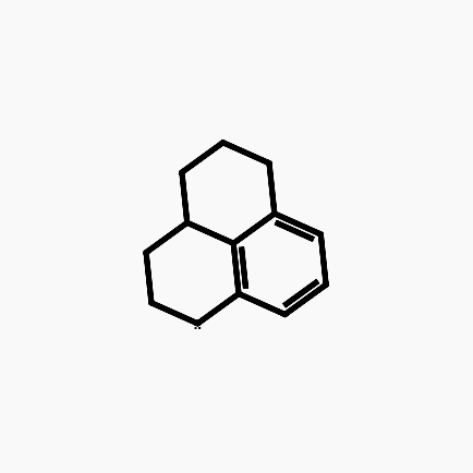 [C]1CCC2CCCc3cccc1c32